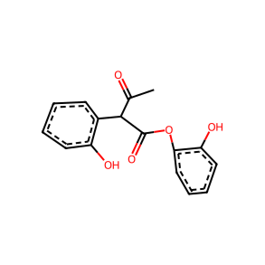 CC(=O)C(C(=O)Oc1ccccc1O)c1ccccc1O